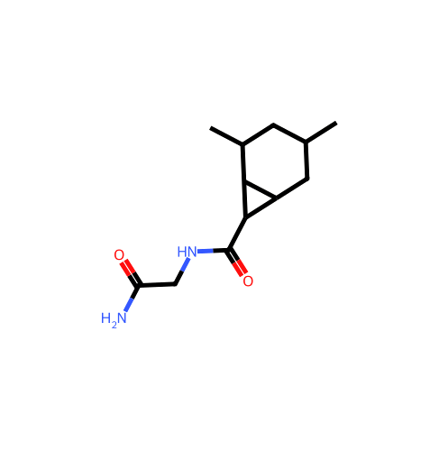 CC1CC(C)C2C(C1)C2C(=O)NCC(N)=O